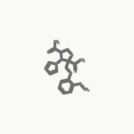 COc1ccccc1OCC1(C(C)=S)SCC(C(C)=O)N1n1ccnc1